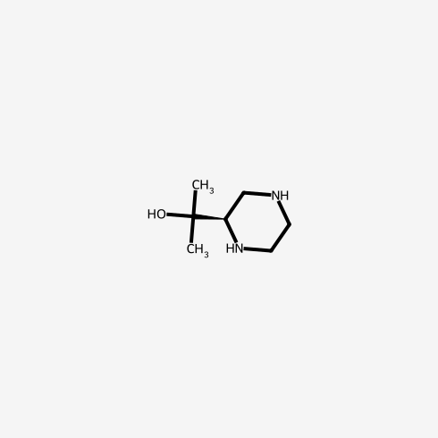 CC(C)(O)[C@H]1CNCCN1